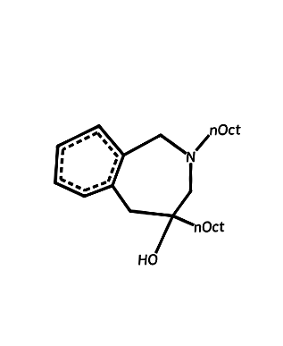 CCCCCCCCN1Cc2ccccc2CC(O)(CCCCCCCC)C1